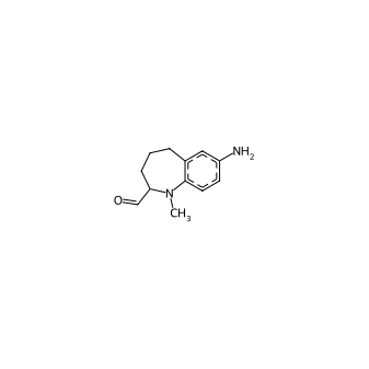 CN1c2ccc(N)cc2CCCC1C=O